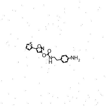 Nc1ccc(CCNC(=O)Oc2cc(-c3cccs3)on2)cc1